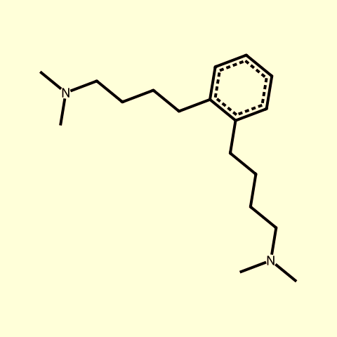 CN(C)CCCCc1ccccc1CCCCN(C)C